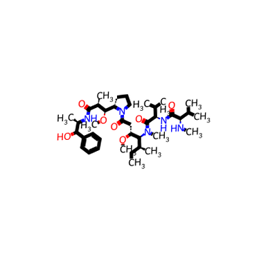 CC[C@H](C)[C@@H]([C@@H](CC(=O)N1CCC[C@H]1[C@H](OC)[C@@H](C)C(=O)N[C@H](C)C(O)c1ccccc1)OC)N(C)C(=O)[C@@H](NC(=O)[C@@H](NC)C(C)C)C(C)C